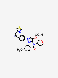 C[C@H]1CC[C@H](C(=O)N(c2nn(-c3ccc(/C=C\c4cscn4)cc3)cc2OC(=O)O)C2CCOCC2)CC1